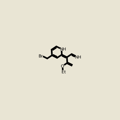 C=C(OCC)/C(C=N)=C1\C=C(CBr)C=CN1